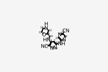 N#Cc1cnc(Nc2cc(NC[C@@H]3CNCCO3)c(C#N)nn2)cn1